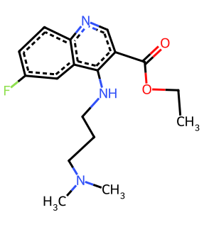 CCOC(=O)c1cnc2ccc(F)cc2c1NCCCN(C)C